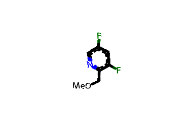 COCc1ncc(F)cc1F